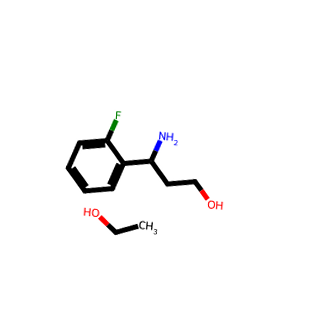 CCO.NC(CCO)c1ccccc1F